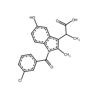 Cc1c(C(C)C(=O)O)c2cc(O)ccc2n1C(=O)c1cccc(Cl)c1